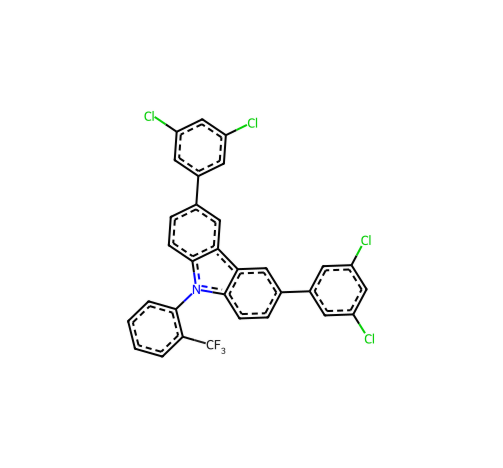 FC(F)(F)c1ccccc1-n1c2ccc(-c3cc(Cl)cc(Cl)c3)cc2c2cc(-c3cc(Cl)cc(Cl)c3)ccc21